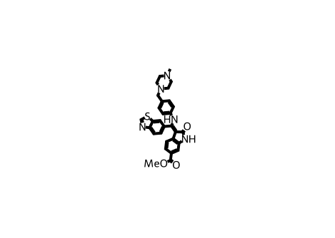 COC(=O)c1ccc2c(c1)NC(=O)/C2=C(\Nc1ccc(CN2CCN(C)CC2)cc1)c1ccc2ncsc2c1